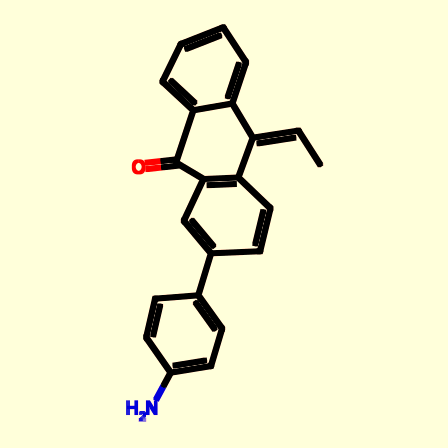 CC=C1c2ccccc2C(=O)c2cc(-c3ccc(N)cc3)ccc21